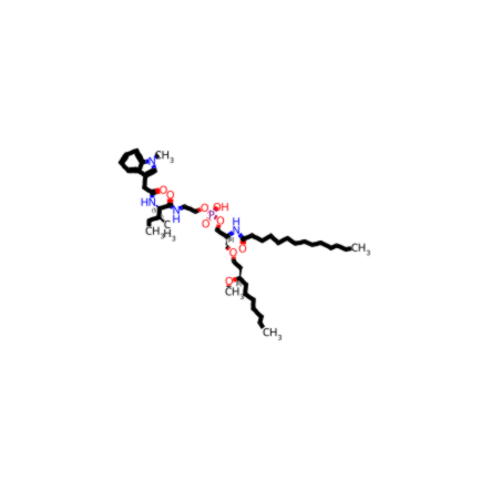 CCCCCCCCCCCCCC(=O)N[C@H](COCC[C@@H](CCCCCCC)OC)COP(=O)(O)OCCNC(=O)[C@@H](NC(=O)Cc1cn(C)c2ccccc12)[C@@H](C)CC